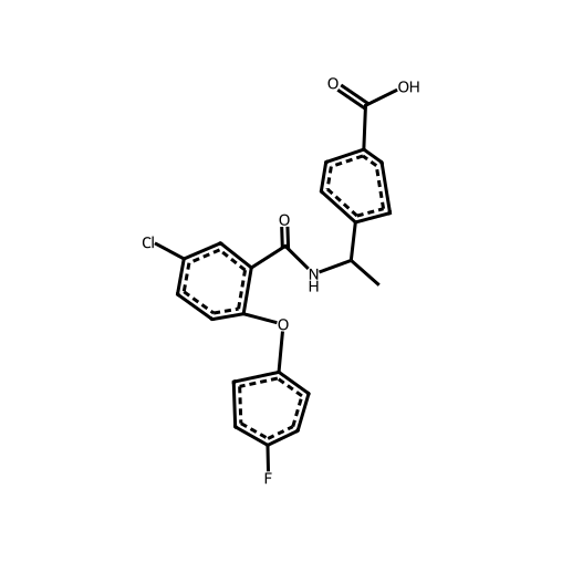 CC(NC(=O)c1cc(Cl)ccc1Oc1ccc(F)cc1)c1ccc(C(=O)O)cc1